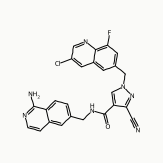 N#Cc1nn(Cc2cc(F)c3ncc(Cl)cc3c2)cc1C(=O)NCc1ccc2c(N)nccc2c1